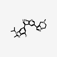 Cc1nc2c(F)cc(-c3c[nH]c4ncc(-c5cnn6c5CN(C)CC6)cc34)cc2n1C(C)C